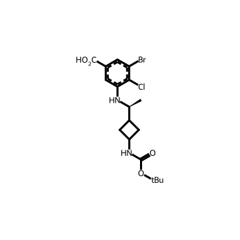 C[C@H](Nc1cc(C(=O)O)cc(Br)c1Cl)C1CC(NC(=O)OC(C)(C)C)C1